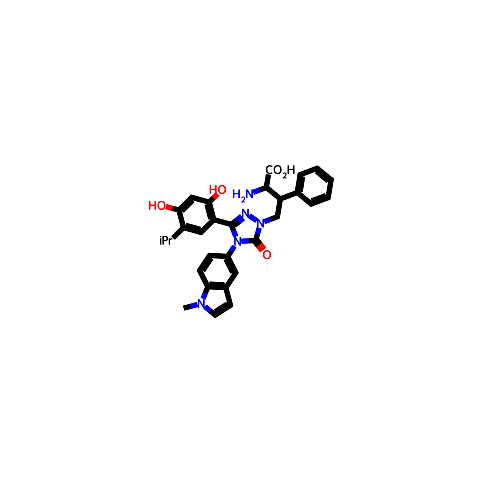 CC(C)c1cc(-c2nn(CC(c3ccccc3)C(N)C(=O)O)c(=O)n2-c2ccc3c(ccn3C)c2)c(O)cc1O